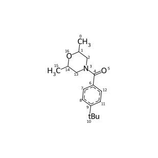 CC1CN(C(=O)c2ccc(C(C)(C)C)cc2)CC(C)O1